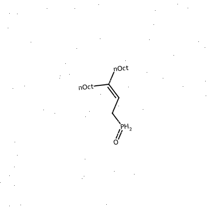 CCCCCCCCC(=CC[PH2]=O)CCCCCCCC